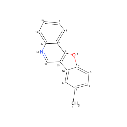 Cc1ccc2oc3c4ccccc4ncc3c2c1